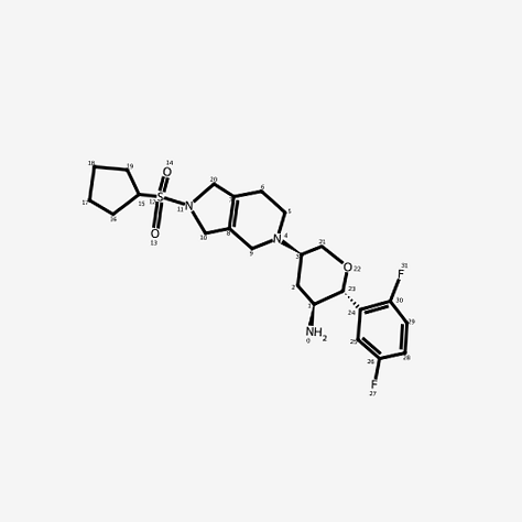 N[C@H]1C[C@@H](N2CCC3=C(C2)CN(S(=O)(=O)C2CCCC2)C3)CO[C@@H]1c1cc(F)ccc1F